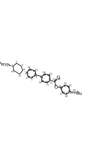 CCCCC[C@H]1CC[C@H](c2ccc(-c3ccc(C(=O)Oc4ccc(CCCC)cc4)cc3)cc2)CC1